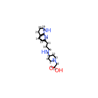 O=C(O)CN1CCC(NCCCc2ccc3c(n2)NCCC3)CC1